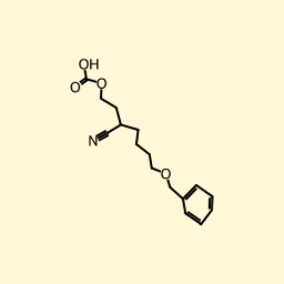 N#CC(CCCCOCc1ccccc1)CCOC(=O)O